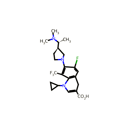 C[C@H]([C@@H]1CCN(c2c(F)cc3c(c2C(F)(F)F)N(C2CC2)C=C(C(=O)O)C3)C1)N(C)C